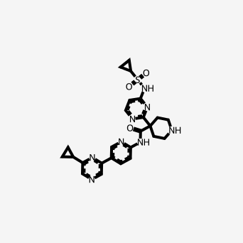 O=C(Nc1ccc(-c2cncc(C3CC3)n2)cn1)C1(c2nccc(NS(=O)(=O)C3CC3)n2)CCNCC1